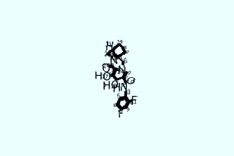 O=C(NCc1ccc(F)cc1F)C1=CN2C[C@@]34CCC[C@@H](CN3C(=O)C2=C(O)C1O)C4